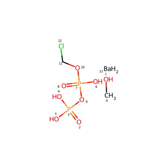 CO.O=P(O)(O)OP(=O)(O)OCCl.[BaH2]